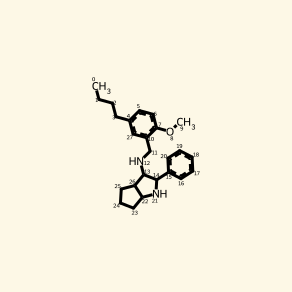 CCCCc1ccc(OC)c(CNC2C(c3ccccc3)NC3CCCC32)c1